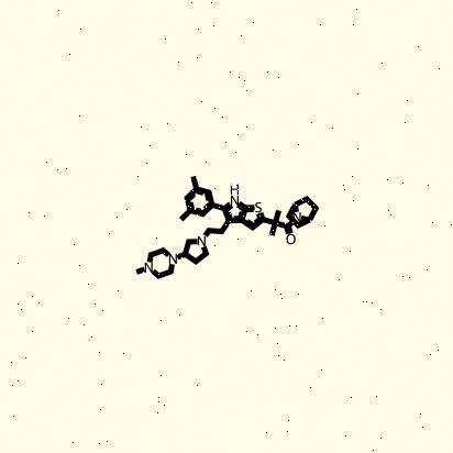 Cc1cc(C)cc(-c2[nH]c3sc(C(C)(C)C(=O)N4C5CCC4CC5)cc3c2CCN2CCC(N3CCN(C)CC3)C2)c1